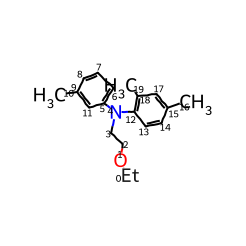 CCOCCN(c1cccc(C)c1)c1ccc(C)cc1C